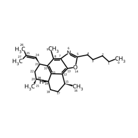 CCCCCc1nc2c(C)c3c4c(c2o1)[C@@H](C)CC[C@@H]4[C@@H](C)C[C@H]3C=C(C)C